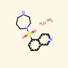 O.O.O=S(=O)(c1cccc2cnccc12)N1CCCNCC1